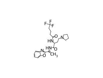 C[C@H](NC(=O)C(CCN1CCCC1)NC(=O)CCCC(F)(F)F)c1nc2ccccc2o1